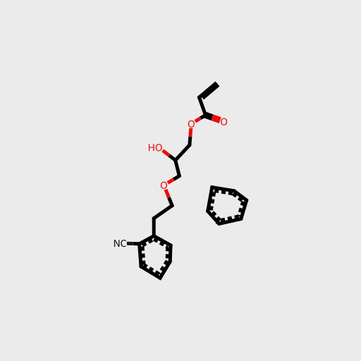 C=CC(=O)OCC(O)COCCc1ccccc1C#N.[c]1ccccc1